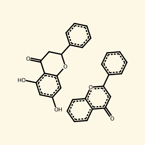 O=C1CC(c2ccccc2)Oc2cc(O)cc(O)c21.O=c1cc(-c2ccccc2)oc2ccccc12